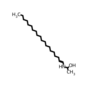 CCCCCCCCCCCCCCCCCCC=CNC(C)O